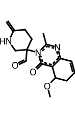 C=C1CCC(C=O)(n2c(C)nc3c(c2=O)C(OC)CC=C3)CN1